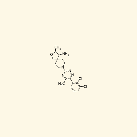 Cc1nc(N2CCC3(CC2)CO[C@@H](C)[C@H]3N)nnc1-c1cccc(Cl)c1Cl